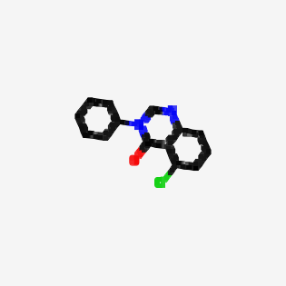 O=c1c2c(Cl)cccc2ncn1-c1ccccc1